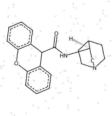 O=C(N[C@@H]1CN2CCC1CC2)C1c2ccccc2Oc2ccccc21